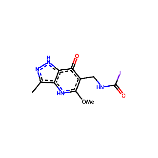 COc1[nH]c2c(C)n[nH]c2c(=O)c1CNC(=O)I